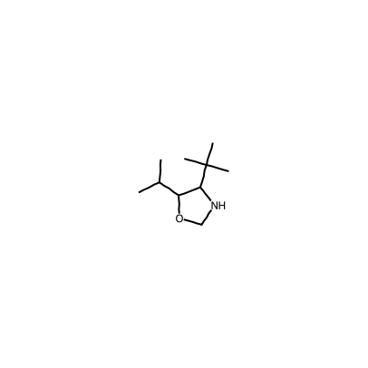 CC(C)C1OCNC1C(C)(C)C